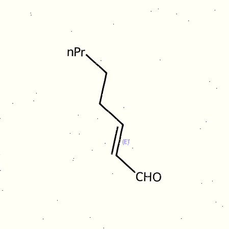 CCCCC/C=C/C=O